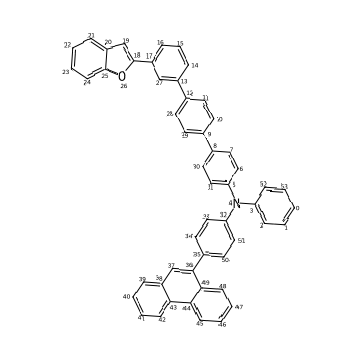 c1ccc(N(c2ccc(-c3ccc(-c4cccc(-c5cc6ccccc6o5)c4)cc3)cc2)c2ccc(-c3cc4ccccc4c4ccccc34)cc2)cc1